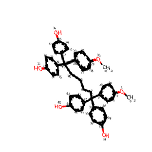 COc1ccc(C(CCCCC(c2ccc(O)cc2)(c2ccc(O)cc2)c2ccc(OC)cc2)(c2ccc(O)cc2)c2ccc(O)cc2)cc1